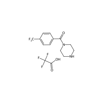 O=C(O)C(F)(F)F.O=C(c1ccc(C(F)(F)F)cc1)N1CCNCC1